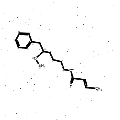 CC=CC(=O)OCCCCC(Cc1ccccc1)O[SiH3]